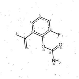 C=C(C)c1cccc(F)c1OC(N)=O